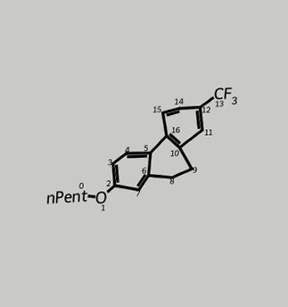 CCCCCOc1ccc2c(c1)CCc1cc(C(F)(F)F)ccc1-2